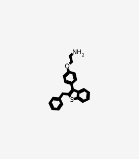 NCCOc1ccc(-c2c(Cc3ccccc3)sc3ccccc23)cc1